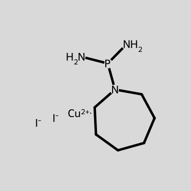 NP(N)N1CCCCCC1.[Cu+2].[I-].[I-]